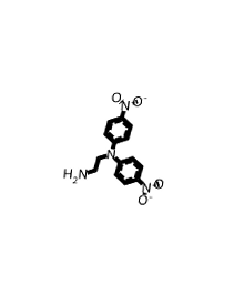 NCCN(c1ccc([N+](=O)[O-])cc1)c1ccc([N+](=O)[O-])cc1